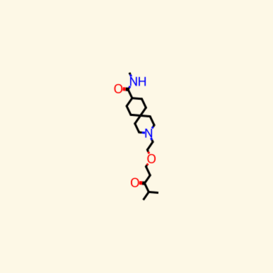 CNC(=O)C1CCC2(CC1)CCN(CCOCCC(=O)C(C)C)CC2